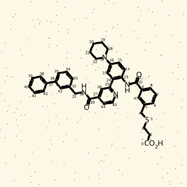 O=C(O)CCSCc1cccc(C(=O)Nc2ccc(N3CCCCC3)cc2-c2cc(C(=O)NCc3cccc(-c4ccccc4)c3)ccn2)c1